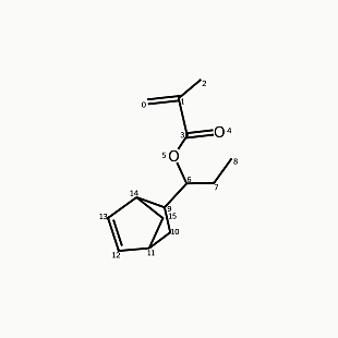 C=C(C)C(=O)OC(CC)C1CC2C=CC1C2